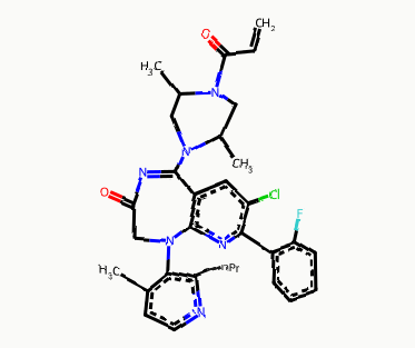 C=CC(=O)N1CC(C)N(C2=NC(=O)CN(c3c(C)ccnc3CCC)c3nc(-c4ccccc4F)c(Cl)cc32)CC1C